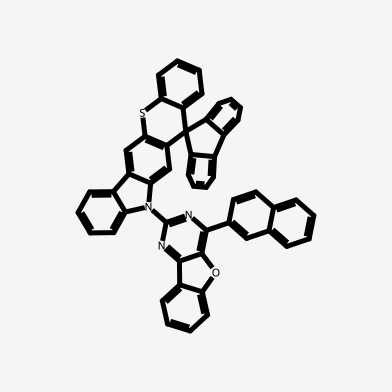 c1ccc2c(c1)Sc1cc3c4ccccc4n(-c4nc(-c5ccc6ccccc6c5)c5oc6ccccc6c5n4)c3cc1C21c2ccccc2-c2ccccc21